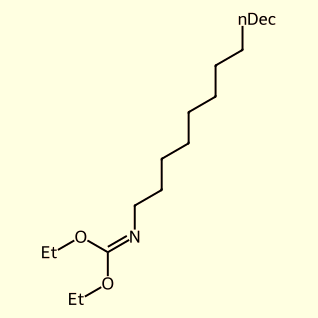 CCCCCCCCCCCCCCCCCCN=C(OCC)OCC